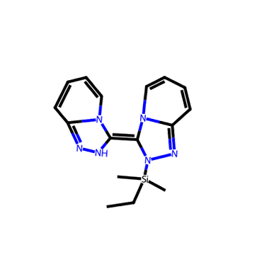 CC[Si](C)(C)N1N=C2C=CC=CN2/C1=C1/NN=C2C=CC=CN21